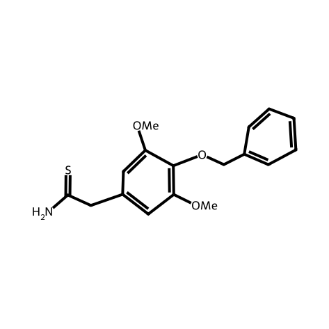 COc1cc(CC(N)=S)cc(OC)c1OCc1ccccc1